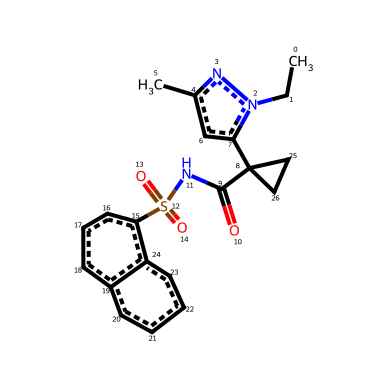 CCn1nc(C)cc1C1(C(=O)NS(=O)(=O)c2cccc3ccccc23)CC1